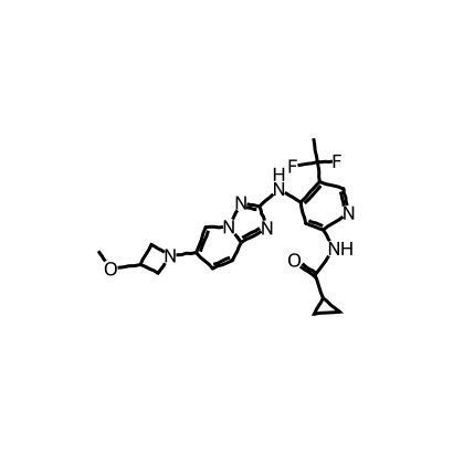 COC1CN(c2ccc3nc(Nc4cc(NC(=O)C5CC5)ncc4C(C)(F)F)nn3c2)C1